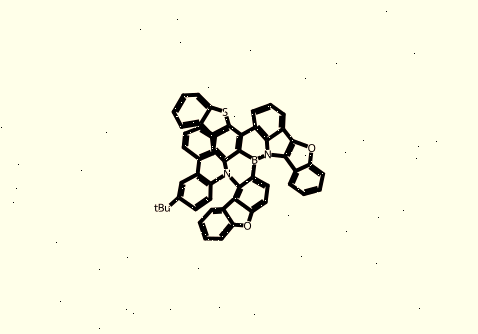 CC(C)(C)c1ccc(N2c3cc4c(sc5ccccc54)c4c3B(c3ccc5oc6ccccc6c5c32)n2c3c-4cccc3c3oc4ccccc4c32)c(-c2ccccc2)c1